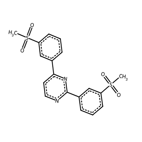 CS(=O)(=O)c1cccc(-c2ccnc(-c3cccc(S(C)(=O)=O)c3)n2)c1